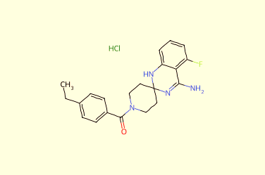 CCc1ccc(C(=O)N2CCC3(CC2)N=C(N)c2c(F)cccc2N3)cc1.Cl